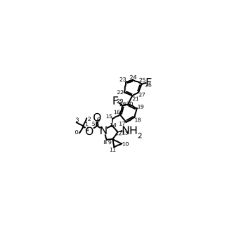 CC(C)(C)OC(=O)N1CC2(CC2)[C@H](N)[C@@H]1Cc1cccc(-c2cccc(F)c2)c1F